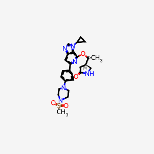 C[C@@H](Oc1nc(-c2ccc(N3CCN(S(C)(=O)=O)CC3)cc2)cc2ncn(C3CC3)c12)[C@H]1CNC(=O)C1